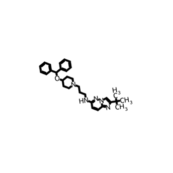 CC(C)(C)c1cn2nc(NCCCN3CCC(OC(c4ccccc4)c4ccccc4)CC3)ccc2n1